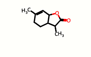 CC1=CC2OC(=O)C(C)C2CC1